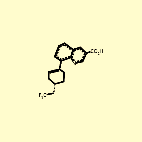 O=C(O)c1cnc2c(C3=CC[C@@H](CC(F)(F)F)CC3)cccc2c1